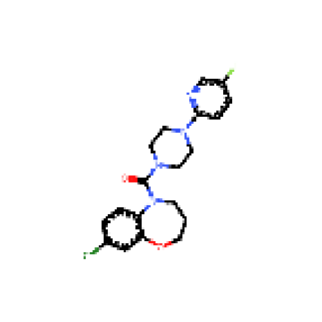 O=C(N1CCN(c2ccc(F)cn2)CC1)N1CCCOc2cc(Cl)ccc21